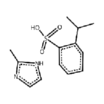 CC(C)c1ccccc1S(=O)(=O)O.Cc1ncc[nH]1